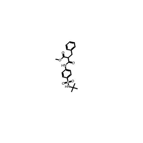 COC(=O)C(Cc1ccccc1)C(=O)Nc1ccc(S(=O)(=O)NC(C)(C)C)cc1